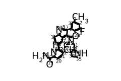 Cc1cc(F)cc(-c2cnc3ccc(-c4nc(C(N)=O)ccc4C)cc3c2C(=O)N(C)C[C@@H]2CCCN2)c1